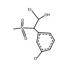 CCC(O)C(c1cccc(Cl)c1)S(C)(=O)=O